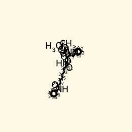 CC(C)(C)OC(=O)N[C@@H](Cc1ccccc1)C(=O)ONC(=O)CCCCCCC(=O)Nc1ccccc1